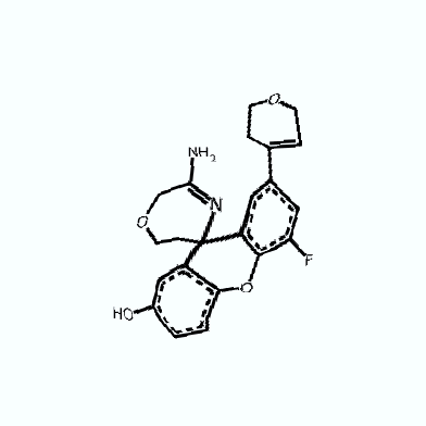 NC1=NC2(COC1)c1cc(O)ccc1Oc1c(F)cc(C3=CCOCC3)cc12